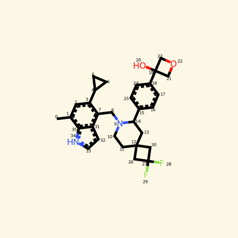 Cc1cc(C2CC2)c(CN2CCC3(CC2c2ccc(C4(O)COC4)cc2)CC(F)(F)C3)c2cc[nH]c12